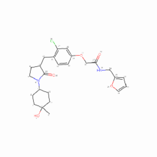 CC1(O)CCC(N2CCC(Cc3ccc(OCC(=O)NCc4ccco4)cc3Cl)C2=O)CC1